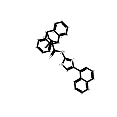 CC1(C(=O)Nc2nc(-c3cccc4ccccc34)cs2)CC2c3ccccc3C1c1ccccc12